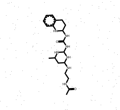 CC(=O)NCCNC1CC(C)NC(NC(=O)NC2CCc3ccccc3N2)N1